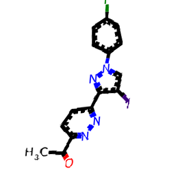 CC(=O)c1ccc(-c2nn(-c3ccc(F)cc3)cc2I)nn1